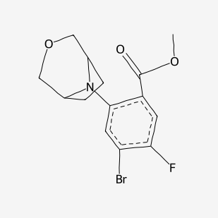 COC(=O)c1cc(F)c(Br)cc1N1C2CCC1COC2